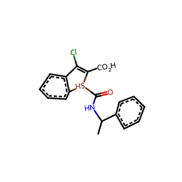 CC(NC(=O)[SH]1C(C(=O)O)=C(Cl)c2ccccc21)c1ccccc1